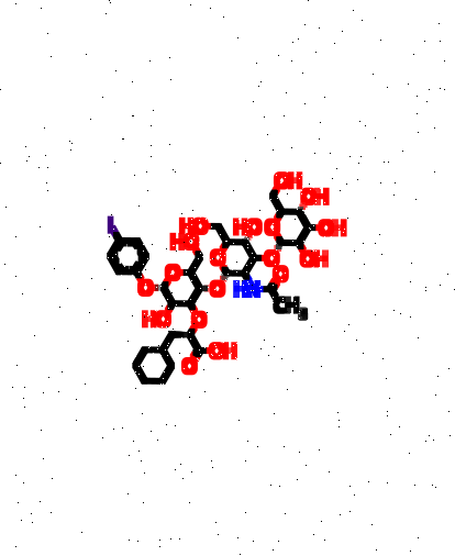 CC(=O)NC1C(O[C@@H]2OC(CO)[C@H](O)C(O)C2O)[C@@H](O)C(CO)O[C@H]1O[C@H]1C(CO)O[C@@H](Oc2ccc(I)cc2)C(O)C1O[C@H](CC1CCCCC1)C(=O)O